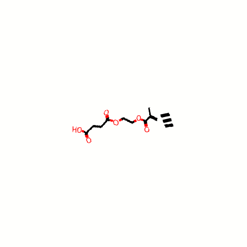 C=C.C=C.C=C.C=C(C)C(=O)OCCOC(=O)CCC(=O)O